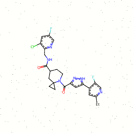 CCc1cc(-c2cc(C(=O)N3CCC(C(=O)NCc4ncc(F)cc4Cl)CC34CC4)n[nH]2)c(F)cn1